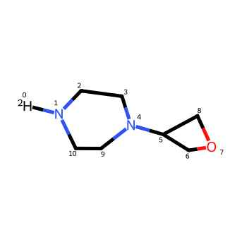 [2H]N1CCN(C2COC2)CC1